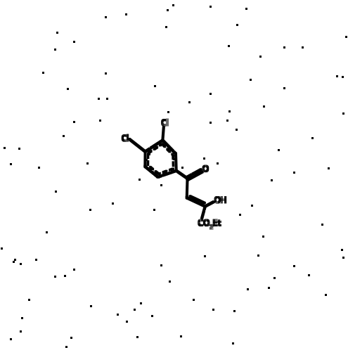 CCOC(=O)C(O)=CC(=O)c1ccc(Cl)c(Cl)c1